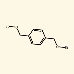 CCOCc1ccc(COCC)cc1